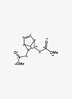 COC(=O)CC1C2C=CC(C2)C1CC(=O)OC